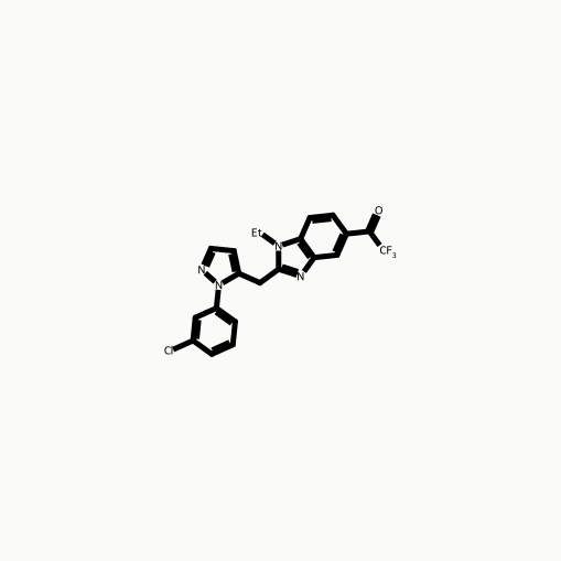 CCn1c(Cc2ccnn2-c2cccc(Cl)c2)nc2cc(C(=O)C(F)(F)F)ccc21